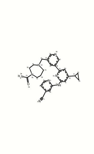 N#Cc1ccnc(Nc2cc(C3CC3)cc(-c3cncc(CN4CCCN(C(N)=O)CC4)c3)n2)c1